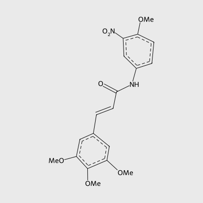 COc1ccc(NC(=O)C=Cc2cc(OC)c(OC)c(OC)c2)cc1[N+](=O)[O-]